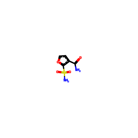 NC(=O)c1ccoc1S(N)(=O)=O